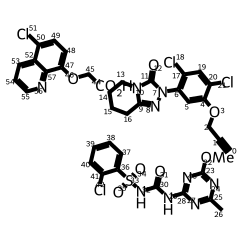 C#CCOc1cc(-n2nc3n(c2=O)CCCC3)c(Cl)cc1Cl.COc1nc(C)nc(NC(=O)NS(=O)(=O)c2ccccc2Cl)n1.O=C(O)COc1ccc(Cl)c2cccnc12